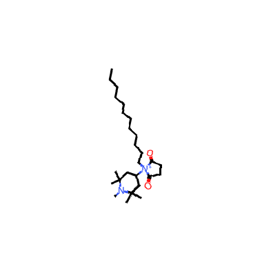 CCCCCCCCCCCC[N+]1(C2CC(C)(C)N(C)C(C)(C)C2)C(=O)CCC1=O